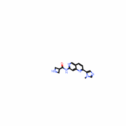 Cn1cncc1-c1ccc2cnc(NC(=O)C3CNC3)cc2n1